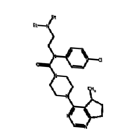 CCN(CC)CCN(C(=O)N1CCN(c2ncnc3c2C(C)CC3)CC1)c1ccc(Cl)cc1